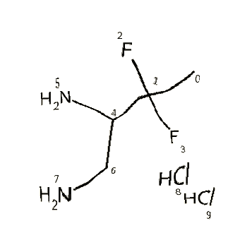 CC(F)(F)C(N)CN.Cl.Cl